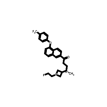 C[C@@H](CCC(=O)c1ccc2c(Oc3ccc(C(F)(F)F)cc3)cccc2c1)C1CN(CCF)C1